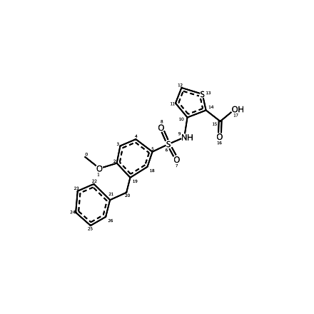 COc1ccc(S(=O)(=O)Nc2ccsc2C(=O)O)cc1Cc1ccccc1